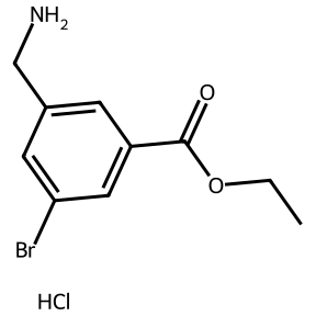 CCOC(=O)c1cc(Br)cc(CN)c1.Cl